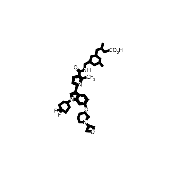 CC(CC(=O)O)CC1CC(C)CC(CNC(=O)c2ccc(-c3cn(C4CCC(F)(F)CC4)c4cc(OC5CCCN(C6COC6)C5)ccc34)nc2C(F)(F)F)C1